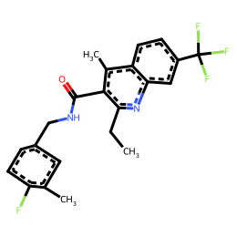 CCc1nc2cc(C(F)(F)F)ccc2c(C)c1C(=O)NCc1ccc(F)c(C)c1